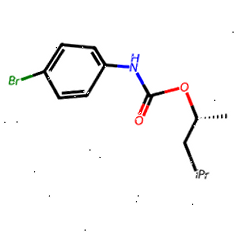 CC(C)C[C@@H](C)OC(=O)Nc1ccc(Br)cc1